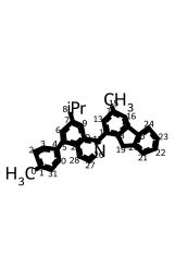 Cc1ccc(-c2cc(C(C)C)cc3c(-c4cc(C)cc5c4Cc4ccccc4-5)nccc23)cc1